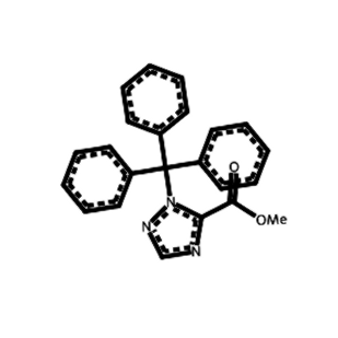 COC(=O)c1ncnn1C(c1ccccc1)(c1ccccc1)c1ccccc1